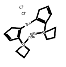 CCCC[Si]1(C2=[C]([Ti+2][C]3=C([Si]4(CCCC)CCC4)C=CC3)CC=C2)CCC1.[Cl-].[Cl-]